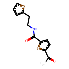 O=C(NCCc1cccs1)c1ccc(C(=O)C(F)(F)F)s1